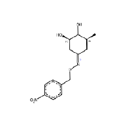 C[C@H]1C/C(=N/OCc2ccc([N+](=O)[O-])cc2)C[C@@H](O)C1O